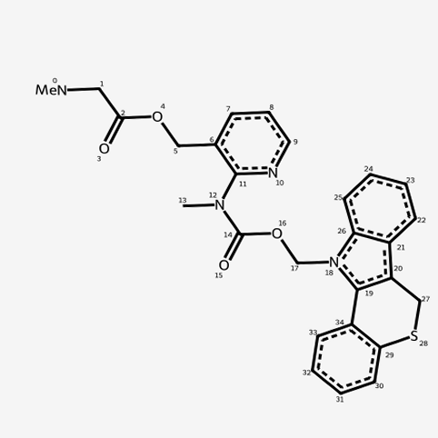 CNCC(=O)OCc1cccnc1N(C)C(=O)OCn1c2c(c3ccccc31)CSc1ccccc1-2